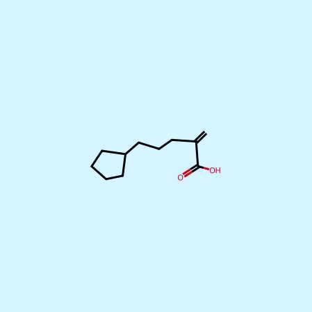 C=C(CCCC1CCCC1)C(=O)O